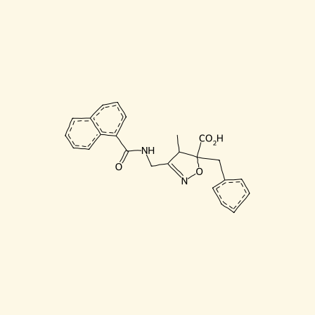 CC1C(CNC(=O)c2cccc3ccccc23)=NOC1(Cc1ccccc1)C(=O)O